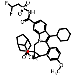 COc1ccc2c(c1)C1CC1(C(=O)C1C3CCC1CN(C)C3)Cn1c-2c(C2CCCCC2)c2ccc(C(=O)NS(=O)(=O)CC(F)F)cc21